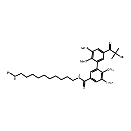 COc1cc(C(=O)NCCCCCCCCCCNC(C)C)cc(-c2cc(C(=O)C(C)(C)O)cc(OC)c2OC)c1OC